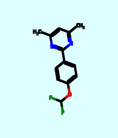 Cc1cc(C)nc(-c2ccc(OC(F)F)cc2)n1